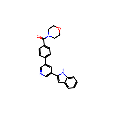 O=C(c1ccc(-c2cncc(-c3cc4ccccc4[nH]3)c2)cc1)N1CCOCC1